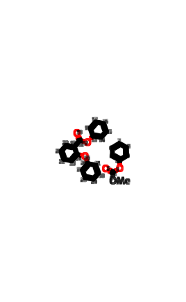 COC(=O)Oc1ccccc1.O=C(Oc1ccccc1)c1ccccc1Oc1ccccc1